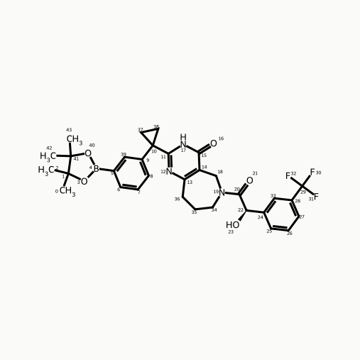 CC1(C)OB(c2cccc(C3(c4nc5c(c(=O)[nH]4)CN(C(=O)[C@H](O)c4cccc(C(F)(F)F)c4)CCC5)CC3)c2)OC1(C)C